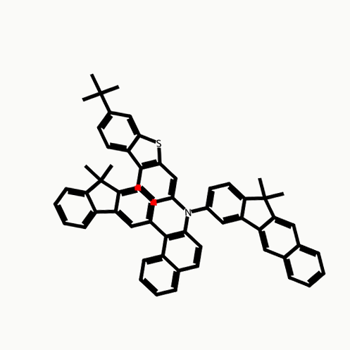 CC(C)(C)c1ccc2c(c1)sc1cc(N(c3ccc4c(c3)-c3cc5ccccc5cc3C4(C)C)c3ccc4ccccc4c3-c3ccc4c(c3)-c3ccccc3C4(C)C)ccc12